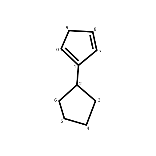 [C]1=C(C2CCCC2)C=CC1